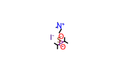 CC(C)P(=O)(SOCC[N+](C)(C)C)C(C)C.[I-]